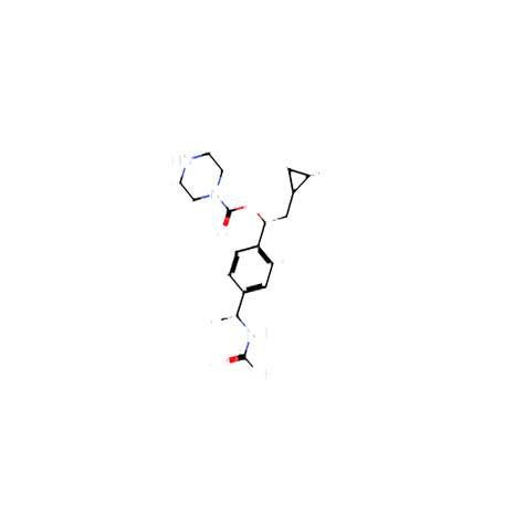 C[C@H](NC(=O)C(F)(F)F)c1ccc([C@H](CC2CC2)OC(=O)N2CCNCC2)cc1